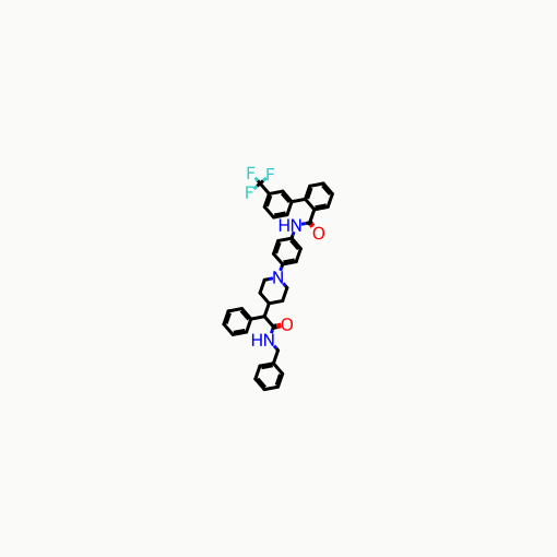 O=C(Nc1ccc(N2CCC(C(C(=O)NCc3ccccc3)c3ccccc3)CC2)cc1)c1ccccc1-c1cccc(C(F)(F)F)c1